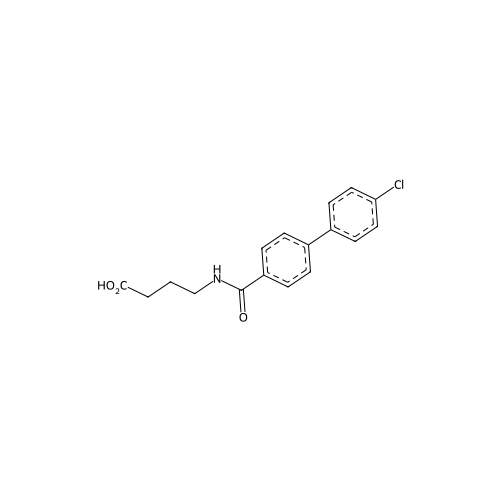 O=C(O)CCCNC(=O)c1ccc(-c2ccc(Cl)cc2)cc1